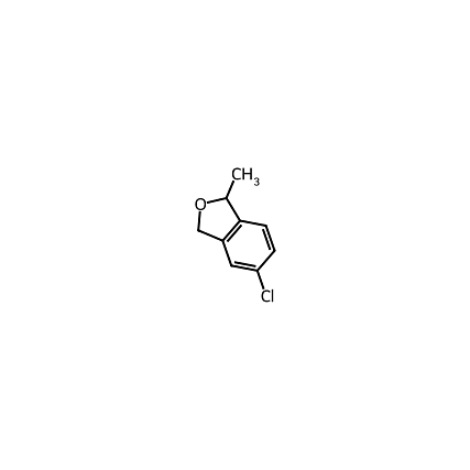 CC1OCc2cc(Cl)ccc21